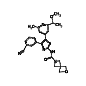 COC(C)c1cc(-c2sc(NC(=O)N3CC4(COC4)C3)nc2-c2cccc(C#N)c2)cc(C)n1